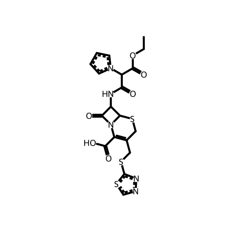 CCOC(=O)C(C(=O)NC1C(=O)N2C(C(=O)O)=C(CSc3nncs3)CSC12)n1cccc1